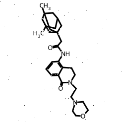 CC12CC3CC(C)(C1)CC(CC(=O)Nc1cccc4c1CCN(CCN1CCOCC1)C4=O)(C3)C2